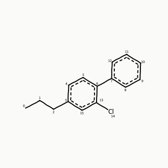 CCCc1ccc(-c2ccccc2)c(Cl)c1